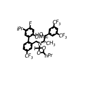 CCCC1OC(I)(N(Cc2cc(C(F)(F)F)ccc2-c2cc(C(C)C)c(F)cc2OC)[C@@H](C)[C@H](O)c2cc(C(F)(F)F)cc(C(F)(F)F)c2)O1